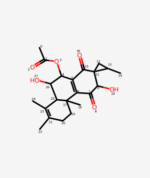 CC(=O)OC1C2=C(C(=O)C(O)C3(CC3C)C2=O)C2(C)CCC(C)=C(C)C2C1O